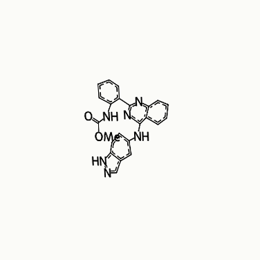 COC(=O)Nc1ccccc1-c1nc(Nc2ccc3[nH]ncc3c2)c2ccccc2n1